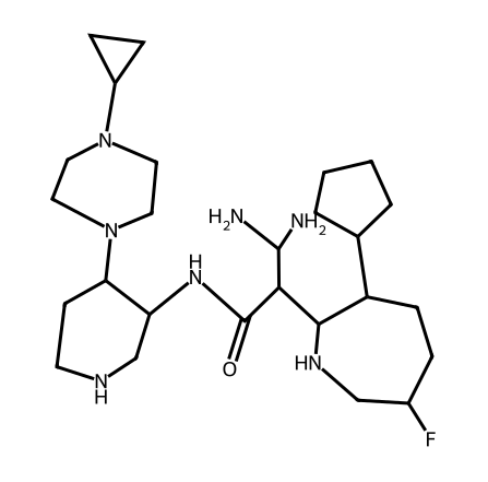 NC(N)C(C(=O)NC1CNCCC1N1CCN(C2CC2)CC1)C1NCC(F)CCC1C1CCCC1